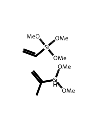 C=C(C)[SiH](OC)OC.C=C[Si](OC)(OC)OC